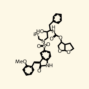 COc1ccccc1/C=C1\C(=O)Nc2ccc(S(=O)(=O)N(CC(C)C)CC(O)C(Cc3ccccc3)NC(=O)OC3COC4OCCC34)cc21